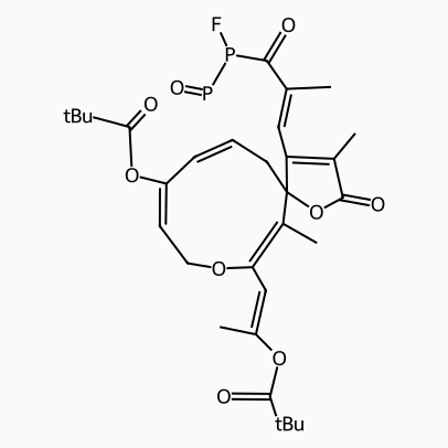 CC1=C(/C=C(\C)C(=O)P(F)P=O)C2(C/C=C\C(OC(=O)C(C)(C)C)=C/COC(/C=C(\C)OC(=O)C(C)(C)C)=C\2C)OC1=O